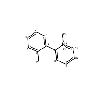 Cc1ccccc1-c1cccn[n+]1C